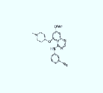 C#Cc1cccc(Nc2ncnc3cc(OC)cc(OC4CCN(C)CC4)c23)c1